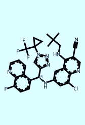 CC(C)(C)CNc1c(C#N)cnc2c(Cl)cc(N[C@H](c3cn(C4(C(F)(F)F)CC4)nn3)c3ccc(F)c4ncccc34)cc12